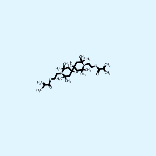 C=C(C)C(=O)OCCN1C(C)(C)CC(O)(C2(O)CC(C)(C)N(CCOC(=O)C(=C)C)C(C)(C)C2)CC1(C)C